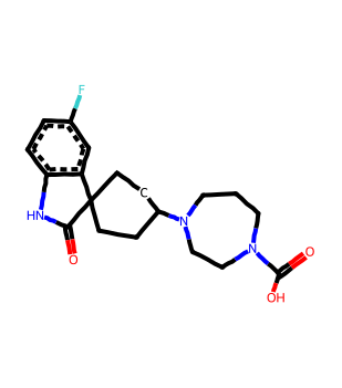 O=C(O)N1CCCN(C2CCC3(CC2)C(=O)Nc2ccc(F)cc23)CC1